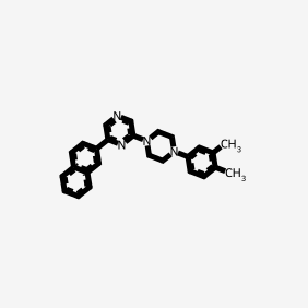 Cc1ccc(N2CCN(c3cncc(-c4ccc5ccccc5c4)n3)CC2)cc1C